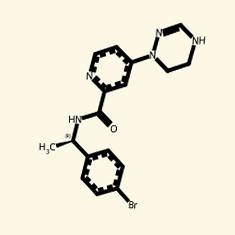 C[C@@H](NC(=O)c1cc(N2CCNC=N2)ccn1)c1ccc(Br)cc1